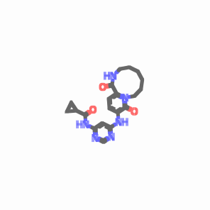 O=C1NCCCCCCn2c1ccc(Nc1cc(NC(=O)C3CC3)ncn1)c2=O